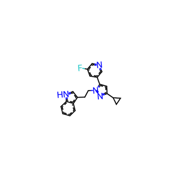 Fc1cncc(-c2cc(C3CC3)nn2CCc2c[nH]c3ccccc23)c1